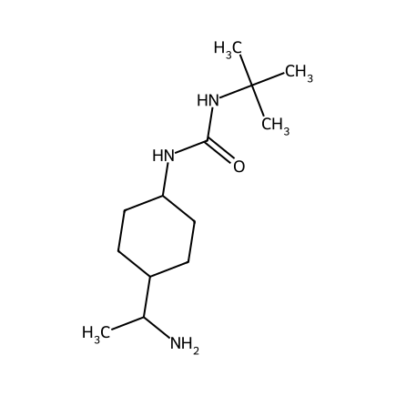 CC(N)C1CCC(NC(=O)NC(C)(C)C)CC1